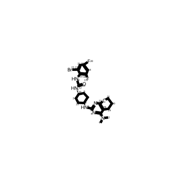 CN(C)c1nc(N[C@H]2CC[C@@H](NC(=O)Nc3c(F)cc(F)cc3Br)CC2)nc2c1CCCC2